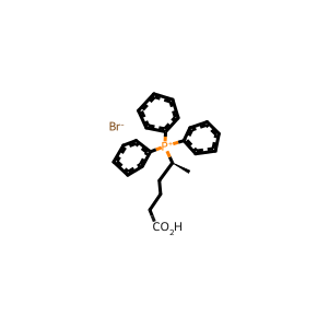 C[C@@H](CCCC(=O)O)[P+](c1ccccc1)(c1ccccc1)c1ccccc1.[Br-]